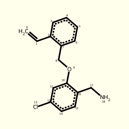 C=Cc1ccccc1COc1cc(Cl)ccc1CN